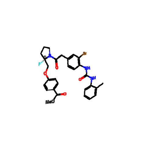 COC(=O)c1ccc(OC[C@@]2(F)CCCN2C(=O)Cc2ccc(NC(=O)Nc3ccccc3C)c(Br)c2)cc1